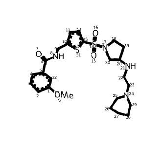 COc1cccc(C(=O)NCc2ccc(S(=O)(=O)N3CCC(NCCN4CCCCC4)C3)s2)c1